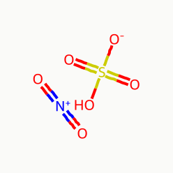 O=S(=O)([O-])O.O=[N+]=O